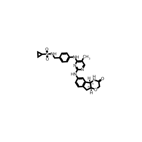 Cc1cnc(Nc2ccc3c(c2)[C@@H]2NC(=O)CO[C@@H]2C3)nc1Nc1ccc(CNS(=O)(=O)C2CC2)cc1